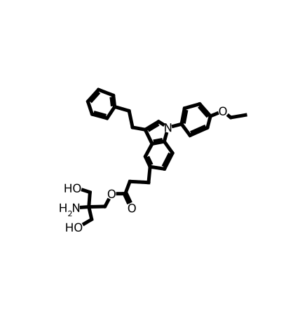 CCOc1ccc(-n2cc(CCc3ccccc3)c3cc(CCC(=O)OCC(N)(CO)CO)ccc32)cc1